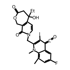 CCC1(O)CC(=O)OCc2c1ccn(CC1=C(I)C(=C=O)c3cc(F)cc(C)c3N1C)c2=O